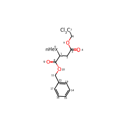 CCCCCCC(CC(=O)OCC(Cl)(Cl)Cl)C(=O)OCc1ccccc1